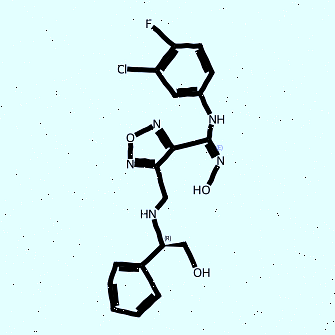 OC[C@H](NCc1nonc1/C(=N\O)Nc1ccc(F)c(Cl)c1)c1ccccc1